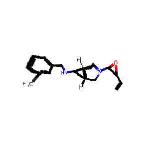 C=CC1OC1N1C[C@@H]2C(NCc3cccc(C(F)(F)F)c3)[C@H]2C1